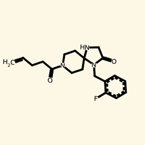 C=CCCC(=O)N1CCC2(CC1)NCC(=O)N2Cc1ccccc1F